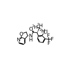 [2H]C([2H])([2H])[C@H](C(=O)N[C@H]1COc2ncccc21)c1cccc(C(F)(F)F)c1Cl